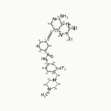 CCc1nc2c(C#Cc3cncc(C(=O)Nc4ccc(CN5CCN(C)CC5)c(C(F)(F)F)c4)c3)cnc(N)c2nc1CC